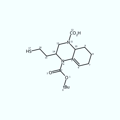 CC(C)(C)OC(=O)N1C2=CCCCC2N(C(=O)O)CC1CCS